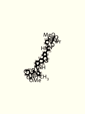 COC(=O)N[C@H](C(=O)N1[C@@H](C)CC[C@H]1c1ncc(-c2ccc3c(c2)COc2cc4c(ccc5nc([C@@H]6C[C@H](C)CN6C(=O)[C@@H](NC(=O)OC)C6CCOCC6)[nH]c54)cc2-3)[nH]1)C(C)C